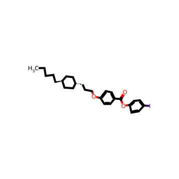 CCCCC[C@H]1CC[C@H](CCCOc2ccc(C(=O)Oc3ccc(I)cc3)cc2)CC1